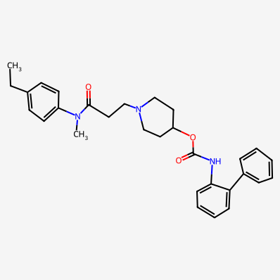 CCc1ccc(N(C)C(=O)CCN2CCC(OC(=O)Nc3ccccc3-c3ccccc3)CC2)cc1